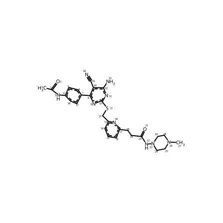 CC(=O)Nc1ccc(-c2nc(SCc3cccc(CCC(=O)NN4CCN(C)CC4)n3)nc(N)c2C#N)cc1